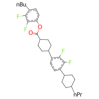 CCCCc1ccc(OC(=O)C2CCC(c3ccc(C4CCC(CCC)CC4)c(F)c3F)CC2)c(F)c1F